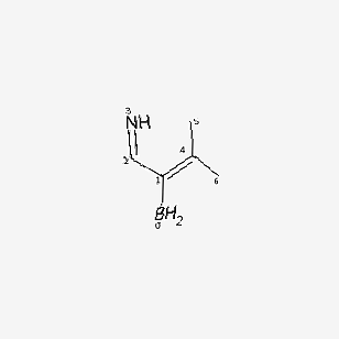 BC(C=N)=C(C)C